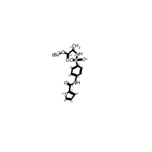 C[C@@H](NS(=O)(=O)c1ccc(NC(=O)c2cccs2)cc1)C(=O)OC(C)(C)C